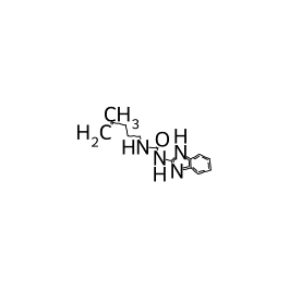 C=C(C)CCCNC(=O)Nc1nc2ccccc2[nH]1